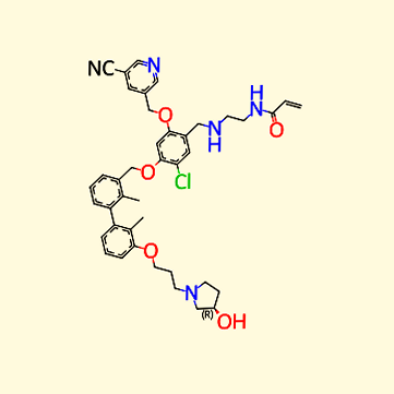 C=CC(=O)NCCNCc1cc(Cl)c(OCc2cccc(-c3cccc(OCCCN4CC[C@@H](O)C4)c3C)c2C)cc1OCc1cncc(C#N)c1